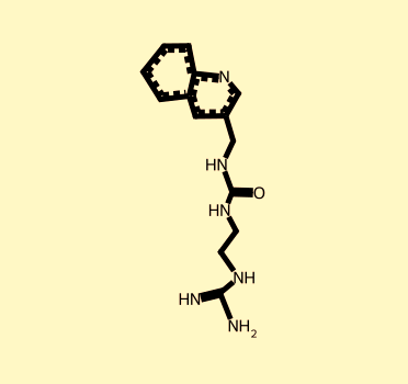 N=C(N)NCCNC(=O)NCc1cnc2ccccc2c1